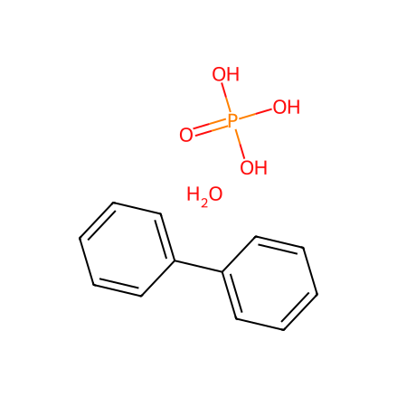 O.O=P(O)(O)O.c1ccc(-c2ccccc2)cc1